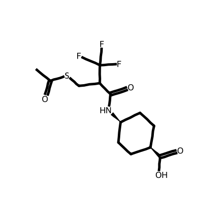 CC(=O)SCC(C(=O)N[C@H]1CC[C@@H](C(=O)O)CC1)C(F)(F)F